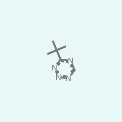 CC(C)(C)c1ncnnn1